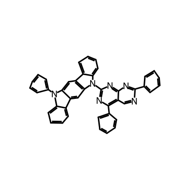 c1ccc(-c2ncc3c(-c4ccccc4)nc(-n4c5ccccc5c5cc6c(cc54)c4ccccc4n6-c4ccccc4)nc3n2)cc1